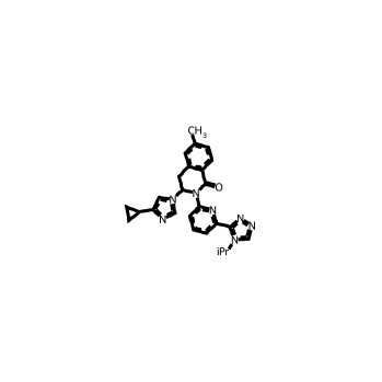 Cc1ccc2c(c1)CC(n1cnc(C3CC3)c1)N(c1cccc(-c3nncn3C(C)C)n1)C2=O